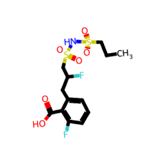 CCCS(=O)(=O)NS(=O)(=O)CC(F)Cc1cccc(F)c1C(=O)O